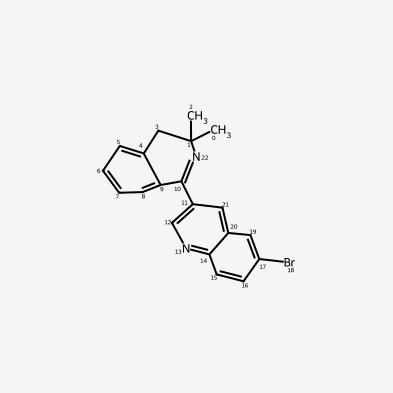 CC1(C)Cc2ccccc2C(c2cnc3ccc(Br)cc3c2)=N1